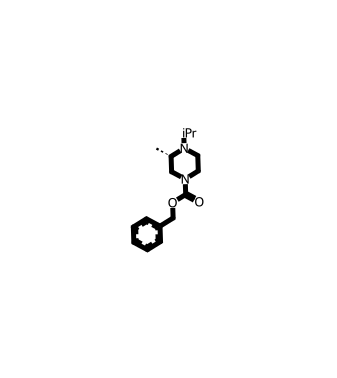 CC(C)N1CCN(C(=O)OCc2ccccc2)C[C@@H]1C